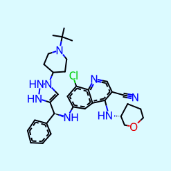 CC(C)(C)N1CCC(N2C=C([C@@H](Nc3cc(Cl)c4ncc(C#N)c(N[C@@H]5CCCOC5)c4c3)c3ccccc3)NN2)CC1